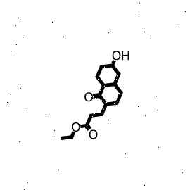 CCOC(=O)CCC1CCC2CC(O)CCC2C1=O